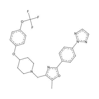 Cc1oc(-c2ccc(-n3nccn3)cc2)nc1CN1CCC(Oc2ccc(OC(F)(F)F)cc2)CC1